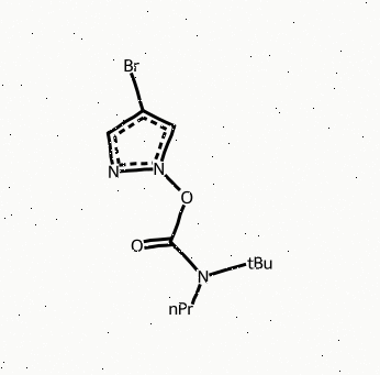 CCCN(C(=O)On1cc(Br)cn1)C(C)(C)C